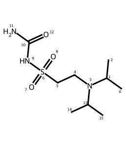 CC(C)N(CCS(=O)(=O)NC(N)=O)C(C)C